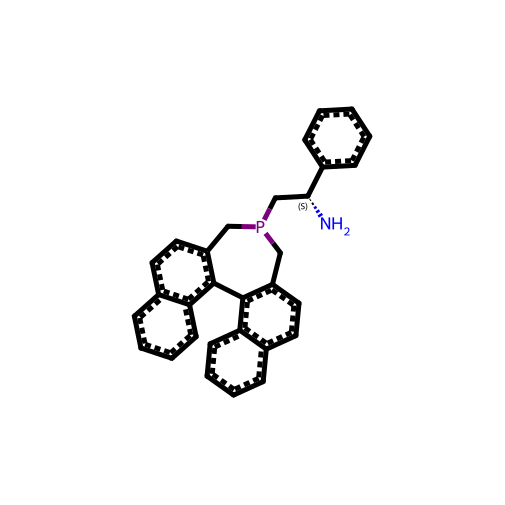 N[C@H](CP1Cc2ccc3ccccc3c2-c2c(ccc3ccccc23)C1)c1ccccc1